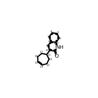 O=c1[nH]c2ccccc2cc1C1CCC=CCC1